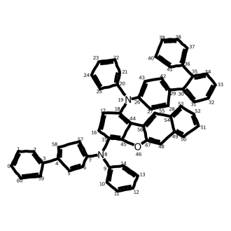 c1ccc(-c2ccc(N(c3ccccc3)c3ccc(N(c4ccccc4)c4ccc(-c5ccccc5-c5ccccc5)cc4)c4c3oc3cc5ccccc5cc34)cc2)cc1